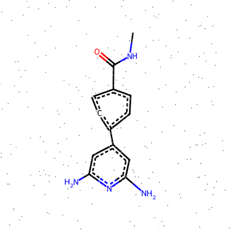 CNC(=O)c1ccc(-c2cc(N)nc(N)c2)cc1